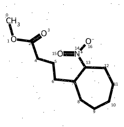 COC(=O)CCCC1CCCCCC1[N+](=O)[O-]